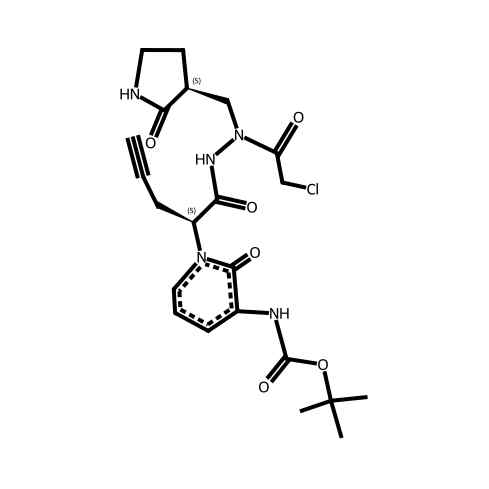 C#CC[C@@H](C(=O)NN(C[C@@H]1CCNC1=O)C(=O)CCl)n1cccc(NC(=O)OC(C)(C)C)c1=O